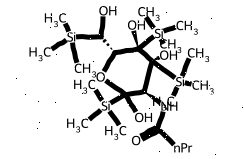 CCCC(=O)N[C@H]1C(O)([Si](C)(C)C)O[C@H](C(O)[Si](C)(C)C)[C@](O)([Si](C)(C)C)[C@@]1(O)[Si](C)(C)C